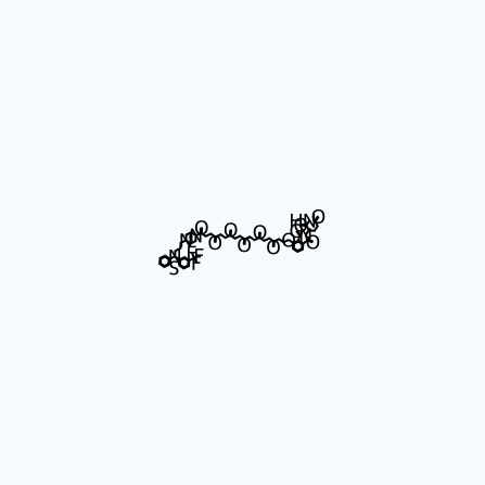 O=C(CCOc1cccc2c1C(=O)N(C1CCC(=O)NC1=O)C2=O)CCC(=O)CCC(=O)CCC(=O)CCC(=O)CCC(=O)N1CCN(CCCN2c3ccccc3Sc3ccc(C(F)(F)F)cc32)CC1